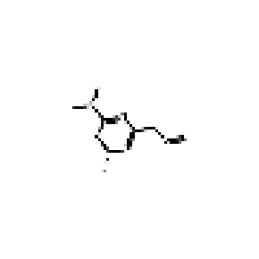 C=PCC1=C[C@H](C)SC(N(C)C)=N1